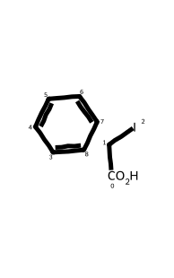 O=C(O)CI.c1ccccc1